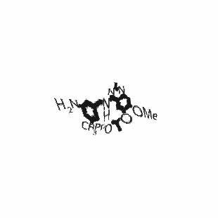 CCCOCC(C)Oc1cc2c(NCc3cc(N)cc(C(F)(F)F)c3)nc(C)nc2cc1OC